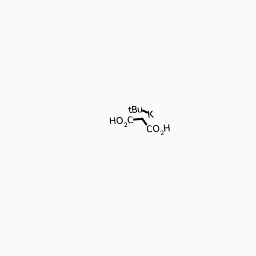 C[C](C)(C)[K].O=C(O)CC(=O)O